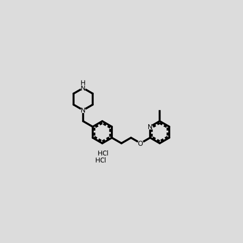 Cc1cccc(OCCc2ccc(CN3CCNCC3)cc2)n1.Cl.Cl